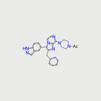 CC(=O)N1CCN(c2nccn3c(-c4ccc5[nH]ncc5c4)c(Cc4ccccc4)nc23)CC1